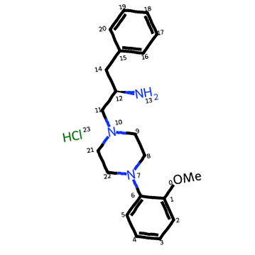 COc1ccccc1N1CCN(C[C@H](N)Cc2ccccc2)CC1.Cl